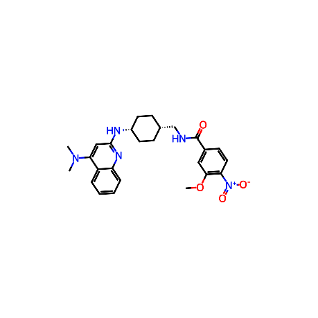 COc1cc(C(=O)NC[C@H]2CC[C@@H](Nc3cc(N(C)C)c4ccccc4n3)CC2)ccc1[N+](=O)[O-]